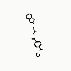 O=C(NCC(O)CNC1Cc2ccccc2C1)c1ccc(C(=O)N2CCC2)cc1